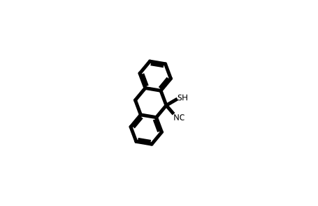 [C-]#[N+]C1(S)c2ccccc2Cc2ccccc21